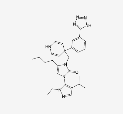 CCCCc1cn(-c2c(C(C)C)cnn2CC)c(=O)n1CC1(c2cccc(-c3nnn[nH]3)c2)C=CNC=C1